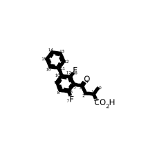 CC(CC(=O)c1c(F)ccc(-c2ccccc2)c1F)C(=O)O